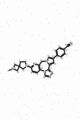 CN1CC2(CCN(c3ccc4c(n3)Cn3cc(-c5ccc(C#N)cc5)cc3-c3nncn3-4)C2)C1